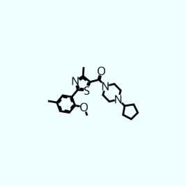 COc1ccc(C)cc1-c1nc(C)c(C(=O)N2CCN(C3CCCC3)CC2)s1